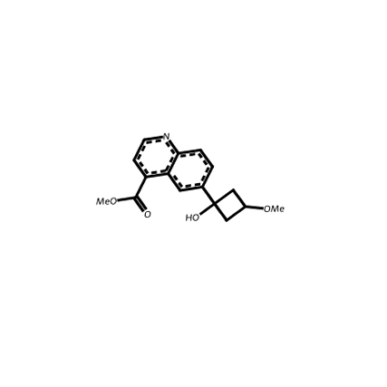 COC(=O)c1ccnc2ccc(C3(O)CC(OC)C3)cc12